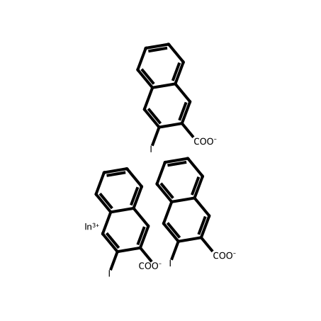 O=C([O-])c1cc2ccccc2cc1I.O=C([O-])c1cc2ccccc2cc1I.O=C([O-])c1cc2ccccc2cc1I.[In+3]